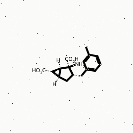 Cc1cccc(C[C@@H]2C[C@H]3[C@H](C(=O)O)[C@H]3[C@]2(N)C(=O)O)c1